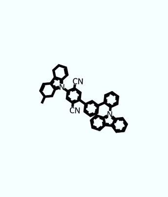 CC1C=Cc2c3c(n(-c4cc(C#N)c(-c5cccc(-c6ccccc6-n6c7ccccc7c7ccccc76)c5)cc4C#N)c2C1)C=CCC3